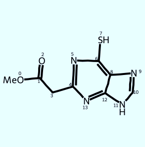 COC(=O)Cc1nc(S)c2nc[nH]c2n1